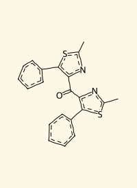 Cc1nc(C(=O)c2nc(C)sc2-c2ccccc2)c(-c2ccccc2)s1